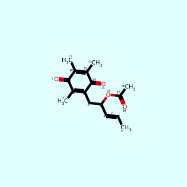 C/C=C/C(CC1=C(C)C(=O)C(C)=C(C)C1=O)OC(C)=O